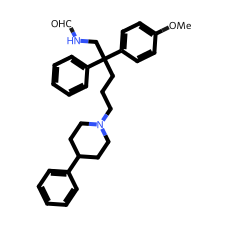 COc1ccc(C(CCCN2CCC(c3ccccc3)CC2)(CNC=O)c2ccccc2)cc1